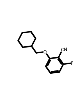 N#Cc1c(F)cccc1OCC1CCCCC1